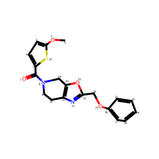 COc1ccc(C(=O)N2CCc3nc(COc4ccccc4)oc3C2)s1